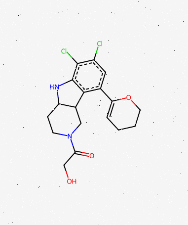 O=C(CO)N1CCC2Nc3c(Cl)c(Cl)cc(C4=CCCCO4)c3C2C1